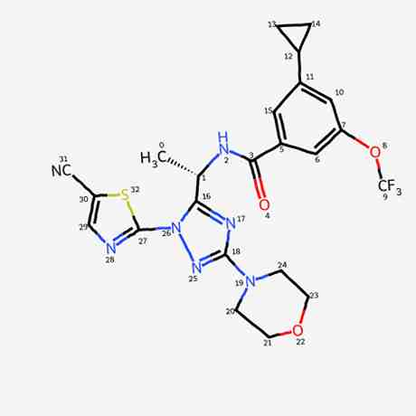 C[C@H](NC(=O)c1cc(OC(F)(F)F)cc(C2CC2)c1)c1nc(N2CCOCC2)nn1-c1ncc(C#N)s1